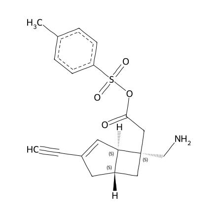 C#CC1=C[C@@H]2[C@@H](C1)C[C@]2(CN)CC(=O)OS(=O)(=O)c1ccc(C)cc1